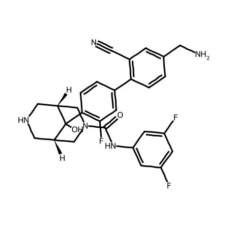 N#Cc1cc(CN)ccc1-c1ccc(C2(O)[C@@H]3CNC[C@H]2CN(C(=O)Nc2cc(F)cc(F)c2)C3)c(F)c1